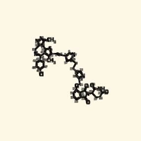 Cc1c(C#Cc2cnn(CCn3cnc(COc4cccc5c4C(=O)N(C4CCC(=O)NC4=O)C5=O)c3)c2)sc2c1C(c1ccc(Cl)cc1)=NCc1nnc(C)n1-2